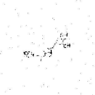 C=C1[C@H](O)CC(=C/C=C2\CCC[C@]3(C)[C@@H]([C@H](C)CCN4CCOCC4)CC[C@@H]23)C[C@H]1O